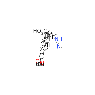 C=C(CNCCN(C)C)[C@@H]1CC[C@]2(C(=O)O)CC[C@]3(C)[C@H](CC[C@@H]4[C@@]5(C)CC=C(c6ccc(C(=O)OC(C)(C)C)cc6)C(C)(C)C5CC[C@]43C)[C@@H]12